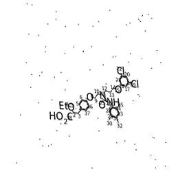 CCOC(Cc1ccc(OCCN(CCCOc2cc(Cl)cc(Cl)c2)C(=O)Nc2cc(C)c(C)cc2C)cc1)C(=O)O